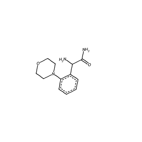 NC(=O)C(N)c1ccccc1N1CCOCC1